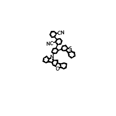 N#Cc1ccccc1-c1cccc(-c2ccc(-n3c4ccccc4c4cc5oc6ccccc6c5cc43)cc2-c2ccc3sc4ccccc4c3c2)c1C#N